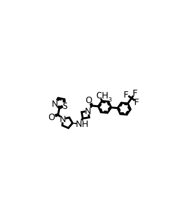 Cc1cc(-c2cccc(C(F)(F)F)c2)ccc1C(=O)N1CC(N[C@H]2CCN(C(=O)c3nccs3)C2)C1